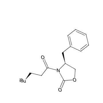 CC[C@H](C)CCC(=O)N1C(=O)OC[C@@H]1Cc1ccccc1